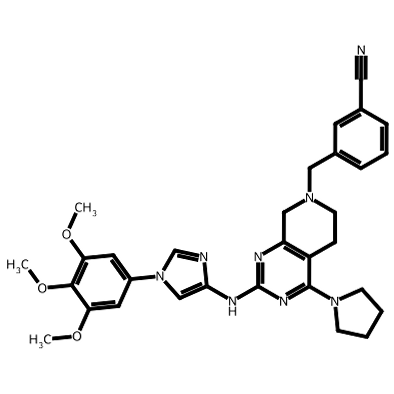 COc1cc(-n2cnc(Nc3nc4c(c(N5CCCC5)n3)CCN(Cc3cccc(C#N)c3)C4)c2)cc(OC)c1OC